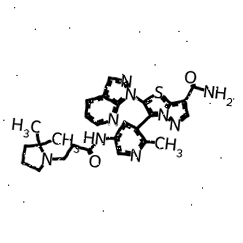 Cc1ncc(NC(=O)CCN2CCCC2(C)C)cc1-c1c(-n2ncc3cccnc32)sc2c(C(N)=O)cnn12